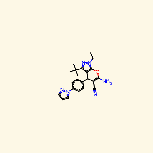 CCn1nc(C(C)(C)C)c2c1OC(N)=C(C#N)C2c1ccc(-n2cccn2)cc1